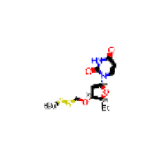 CC[C@H]1O[C@@H](n2ccc(=O)[nH]c2=O)C[C@H]1OCSSC(C)(C)C